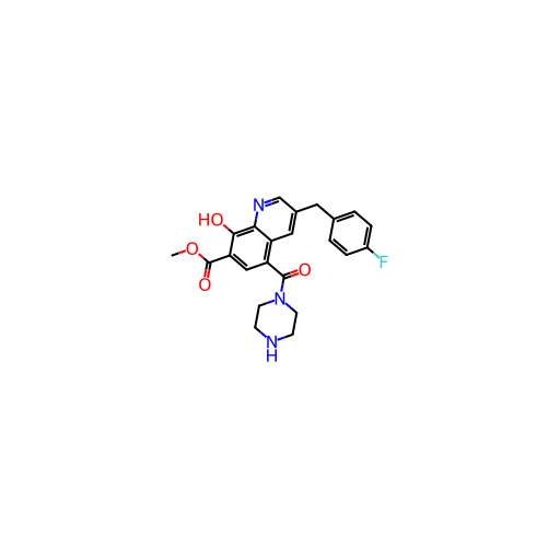 COC(=O)c1cc(C(=O)N2CCNCC2)c2cc(Cc3ccc(F)cc3)cnc2c1O